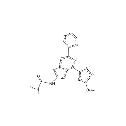 CCNC(=O)Nc1cn2c(-c3noc(OC)n3)nc(-c3cccnc3)cc2n1